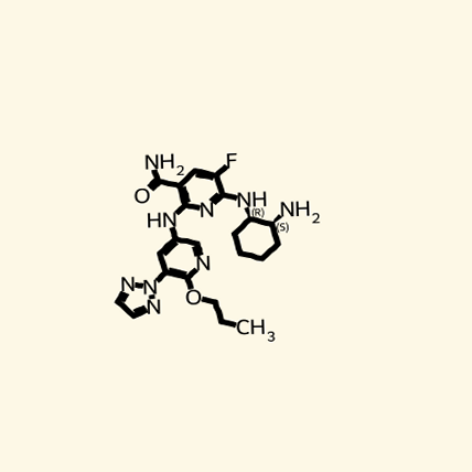 CCCOc1ncc(Nc2nc(N[C@@H]3CCCC[C@@H]3N)c(F)cc2C(N)=O)cc1-n1nccn1